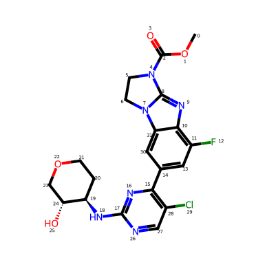 COC(=O)N1CCn2c1nc1c(F)cc(-c3nc(N[C@@H]4CCOC[C@H]4O)ncc3Cl)cc12